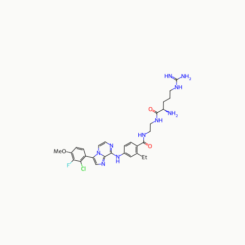 CCc1cc(Nc2nccn3c(-c4ccc(OC)c(F)c4Cl)cnc23)ccc1C(=O)NCCNC(=O)[C@H](N)CCCNC(=N)N